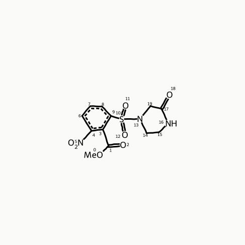 COC(=O)c1c([N+](=O)[O-])cccc1S(=O)(=O)N1CCNC(=O)C1